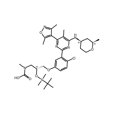 Cc1noc(C)c1-c1nc(-c2cc(OC[C@@H](CN(C)C(=O)O)O[Si](C)(C)C(C)(C)C)ccc2Cl)nc(N[C@@H]2CCO[C@H](C)C2)c1C